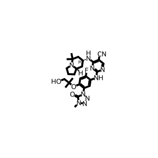 Cn1nnn(-c2cc(Nc3ncc(C#N)c(N[C@@H]4C[C@H]5CCCN5C(C)(C)C4)n3)c(F)cc2OC(C)(C)CO)c1=O